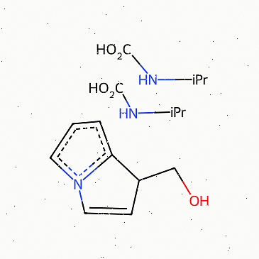 CC(C)NC(=O)O.CC(C)NC(=O)O.OCC1C=Cn2cccc21